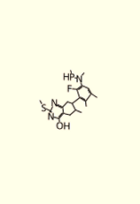 CPN(C)c1cc(C)c(C)c(C2Cc3nc(SC)nc(O)c3CC2C)c1F